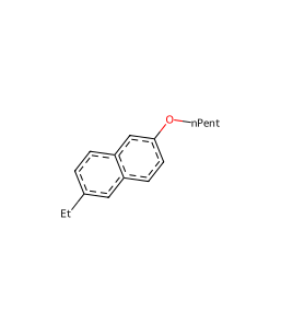 CCCCCOc1ccc2cc(CC)ccc2c1